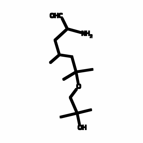 CC(CC(N)C=O)CC(C)(C)OCC(C)(C)O